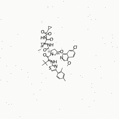 CC[C@@H]1C[C@]1(NC(=O)[C@@H]1C[C@@H](Oc2ncc(OC)c3ccc(Cl)cc23)CN1C(=O)[C@@H](Nc1nc(-c2ccc(C)cc2C)cs1)C(C)(C)C)C(=O)NS(=O)(=O)C1CC1